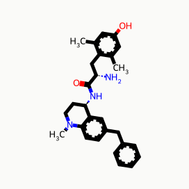 Cc1cc(O)cc(C)c1C[C@H](N)C(=O)N[C@H]1CCN(C)c2ccc(Cc3ccccc3)cc21